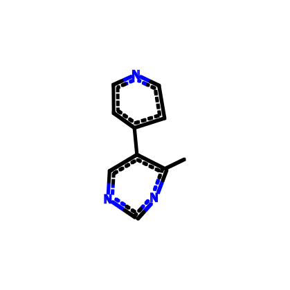 Cc1ncncc1-c1ccncc1